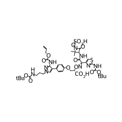 C=CCOC(=O)Nc1nn(CCCNC(=O)OC(C)(C)C)cc1-c1ccc(OC[C@H](O/N=C(\C(=O)N[C@@H]2C(=O)N(OS(=O)(=O)O)C2(C)C)c2csc(NC(=O)OC(C)(C)C)n2)C(=O)O)cc1